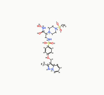 CS(=O)(=O)N1CCN(C(CNS(=O)(=O)c2ccc(OCc3c(C(F)(F)F)nn4ccccc34)cc2)C(=O)NO)CC1